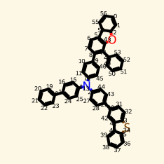 C1=CC2Oc3c(ccc(-c4ccc(N(c5ccc(-c6ccccc6)cc5)c5ccc(-c6ccc7sc8ccccc8c7c6)cc5)cc4)c3-c3ccccc3)C2C=C1